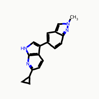 Cn1cc2cc(-c3c[nH]c4nc(C5CC5)ccc34)ccc2n1